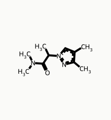 Cc1cn(C(C)C(=O)N(C)C)nc1C